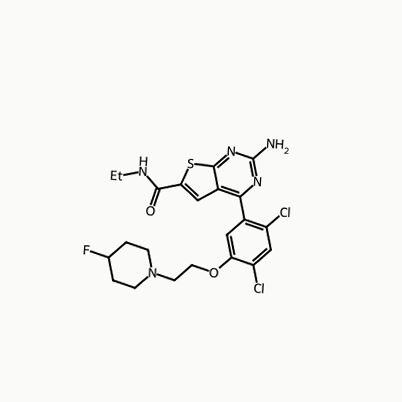 CCNC(=O)c1cc2c(-c3cc(OCCN4CCC(F)CC4)c(Cl)cc3Cl)nc(N)nc2s1